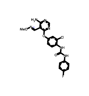 CO/N=C/c1c(N)ncnc1Oc1ccc(NC(=O)Nc2ccc(F)cc2)c(Cl)c1